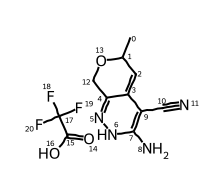 CC1C=C2C(=NNC(N)=C2C#N)CO1.O=C(O)C(F)(F)F